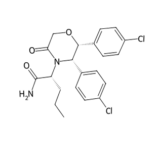 CCC[C@H](C(N)=O)N1C(=O)CO[C@H](c2ccc(Cl)cc2)[C@@H]1c1ccc(Cl)cc1